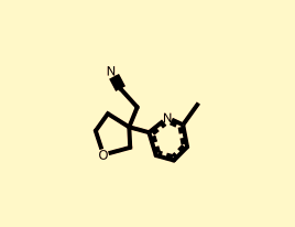 Cc1cccc(C2(CC#N)CCOC2)n1